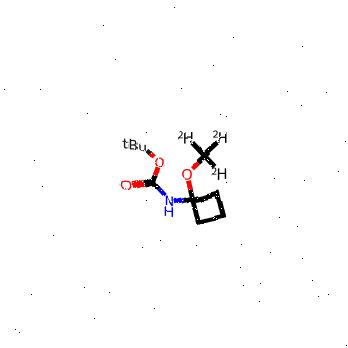 [2H]C([2H])([2H])OC1(NC(=O)OC(C)(C)C)CCC1